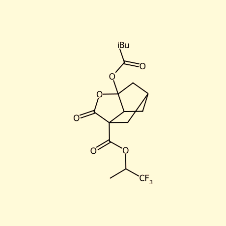 CCC(C)C(=O)OC12CC3CC1C(C(=O)OC(C)C(F)(F)F)(C3)C(=O)O2